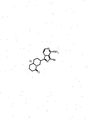 Nc1nccn2c(C3CC[C@@H]4CCCC(=O)N4C3)nc(Br)c12